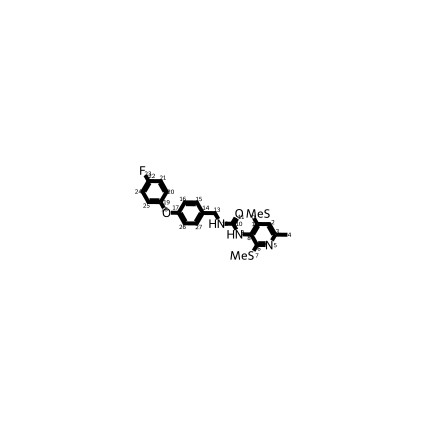 CSc1cc(C)nc(SC)c1NC(=O)NCc1ccc(Oc2ccc(F)cc2)cc1